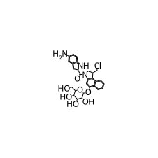 Nc1ccc2[nH]c(C(=O)N3CC(CCl)c4c3cc(OC3OC(CO)[C@H](O)C(O)C3O)c3ccccc43)cc2c1